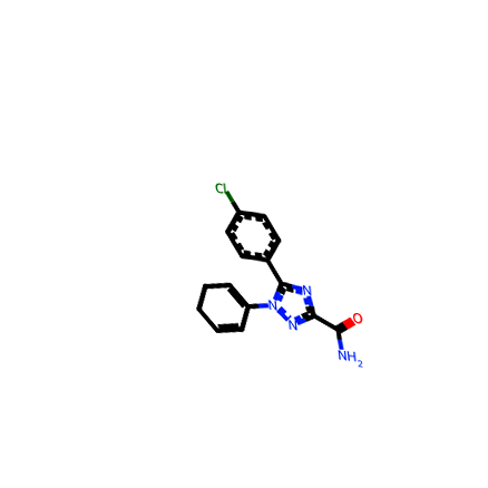 NC(=O)c1nc(-c2ccc(Cl)cc2)n(C2=CCCC=C2)n1